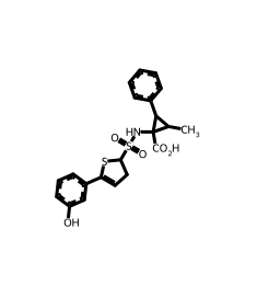 CC1C(c2ccccc2)C1(NS(=O)(=O)C1CC=C(c2cccc(O)c2)S1)C(=O)O